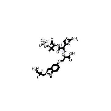 C[n+]1c2ccc(OCC(O/N=C(\C(=O)N[C@@H]3C(=O)N(OS(=O)(=O)[O-])C3(C)C)c3csc(N)n3)C(=O)O)cc2cn1CC(F)(F)CN